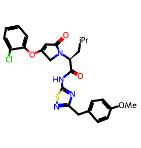 COc1ccc(Cc2nsc(NC(=O)[C@H](CC(C)C)N3CC(Oc4ccccc4Cl)=CC3=O)n2)cc1